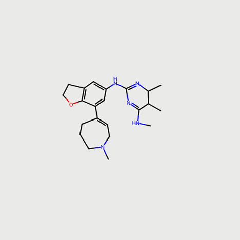 CNC1=NC(Nc2cc3c(c(C4=CCN(C)CCC4)c2)OCC3)=NC(C)C1C